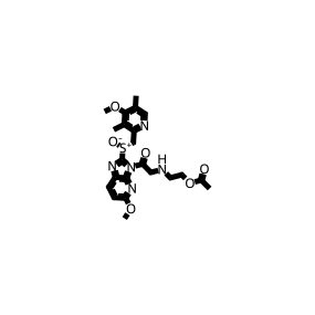 COc1ccc2nc([S+]([O-])Cc3ncc(C)c(OC)c3C)n(C(=O)CNCCOC(C)=O)c2n1